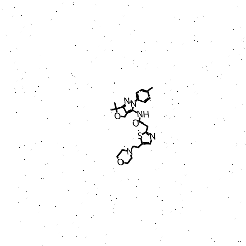 Cc1ccc(-n2nc3c(c2NC(=O)Cc2ncc(CCN4CCOCC4)s2)COC3(C)C)cc1